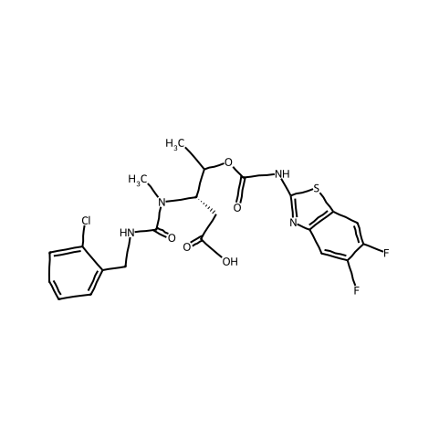 CC(OC(=O)Nc1nc2cc(F)c(F)cc2s1)[C@H](CC(=O)O)N(C)C(=O)NCc1ccccc1Cl